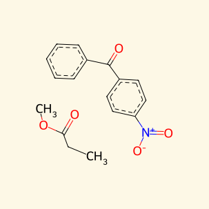 CCC(=O)OC.O=C(c1ccccc1)c1ccc([N+](=O)[O-])cc1